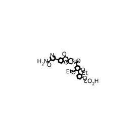 CCOc1cc(C(=O)N2CCC3(CC2)CC(=O)c2cc(-c4cncc(C(N)=O)c4)ccc2O3)cc(OCC)c1-c1cccc(OC(=O)O)c1